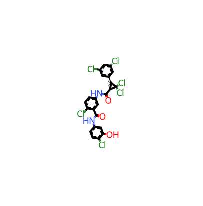 O=C(Nc1ccc(Cl)c(O)c1)c1cc(NC(=O)C2[C@@H](c3cc(Cl)cc(Cl)c3)C2(Cl)Cl)ccc1Cl